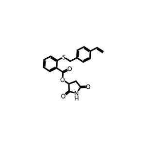 C=Cc1ccc(CSc2ccccc2C(=O)OC2CC(=O)NC2=O)cc1